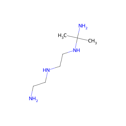 CC(C)(N)NCCNCCN